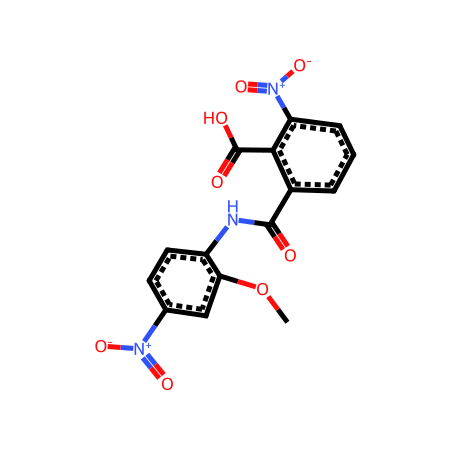 COc1cc([N+](=O)[O-])ccc1NC(=O)c1cccc([N+](=O)[O-])c1C(=O)O